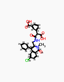 Cn1c(CNC(=O)C(C(=O)O)c2cccc(C(=O)O)c2)c(-c2ccccc2)c2cc(Cl)ccc2c1=O